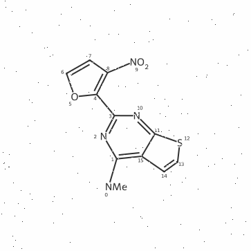 CNc1nc(-c2occc2[N+](=O)[O-])nc2sccc12